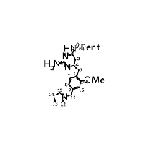 CCC[C@H](C)Nc1cc(Cc2ccc(CN3CCCC3)cc2OC)nc(N)n1